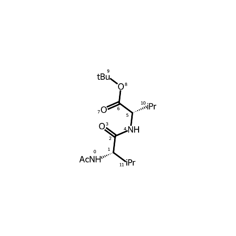 CC(=O)N[C@H](C(=O)N[C@H](C(=O)OC(C)(C)C)C(C)C)C(C)C